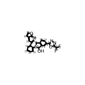 OC1c2cc(-c3nnc(C(F)F)o3)ccc2CN1c1ccccc1-c1cnc2occc2c1